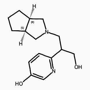 OCC(CN1C[C@H]2CCC[C@H]2C1)c1ccc(O)cn1